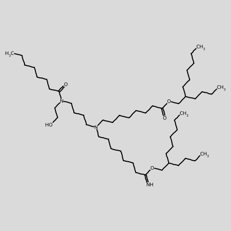 CCCCCCCC(=O)N(CCO)CCCCN(CCCCCCCC(=N)OCC(CCCC)CCCCCC)CCCCCCCC(=O)OCC(CCCC)CCCCCC